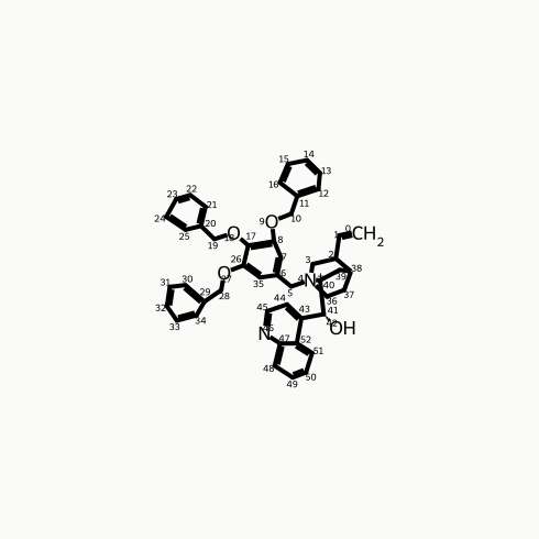 C=CC1C[N+]2(Cc3cc(OCc4ccccc4)c(OCc4ccccc4)c(OCc4ccccc4)c3)CCC1CC2[C@H](O)c1ccnc2ccccc12